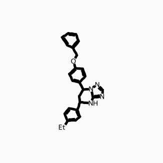 CCc1ccc(C2CC(c3ccc(OCc4ccccc4)cc3)n3ncnc3N2)cc1